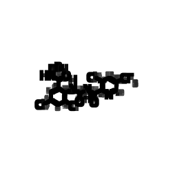 CCCCNC(=O)c1cc(Cl)cc(Cl)c1NC(=O)NC(=O)c1ncc(C(F)(F)F)cc1Cl